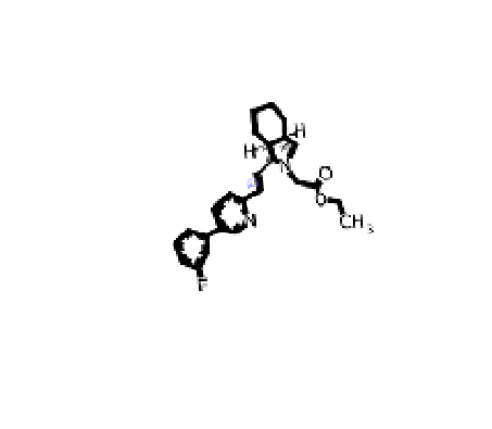 CCOC(=O)CN1C[C@@H]2CCCC[C@@H]2[C@@H]1/C=C/c1ccc(-c2cccc(F)c2)cn1